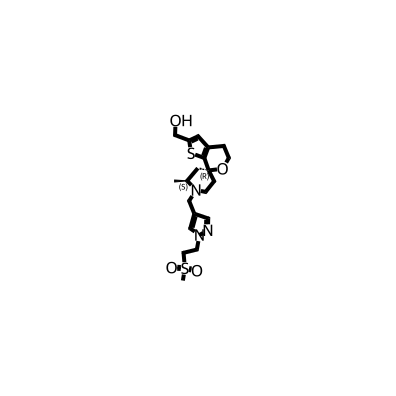 C[C@H]1C[C@@]2(CCN1Cc1cnn(CCS(C)(=O)=O)c1)OCCc1cc(CO)sc12